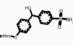 CCCCCCOc1ccc(C(O)c2ccc(S(N)(=O)=O)cc2)cc1